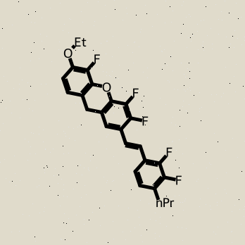 CCCc1ccc(/C=C/c2cc3c(c(F)c2F)Oc2c(ccc(OCC)c2F)C3)c(F)c1F